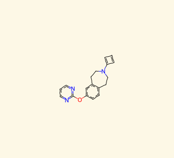 C1=CC(N2CCc3ccc(Oc4ncccn4)cc3CC2)=C1